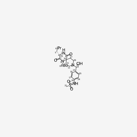 CCCCN1C(=O)[C@H](CC(C)C)NC(=O)C12CCN(Cc1ccc(NS(C)(=O)=O)cc1)CC2.Cl